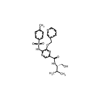 Cc1ccc(S(=O)(=O)Nc2ncc(C(=O)N[C@H](CO)C(C)C)nc2OCc2cccnc2)cc1